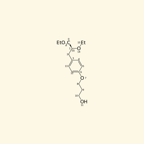 CCOC(=O)[C@H](Cc1ccc(OCCCO)cc1)OCC